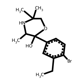 CCc1cc(C2(O)OCC(C)(C)NC2C)ccc1Br